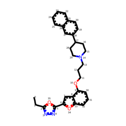 CCc1nnc(-c2cc3c(OCCCN4CCC(c5ccc6ccccc6c5)CC4)cccc3o2)o1